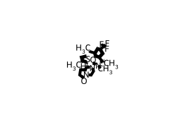 CCc1cc([C@@H](C)N(C)C(=O)N2CCN3C(=O)CC[C@H]3[C@@H]2c2sccc2C)cc(C(F)(F)F)c1